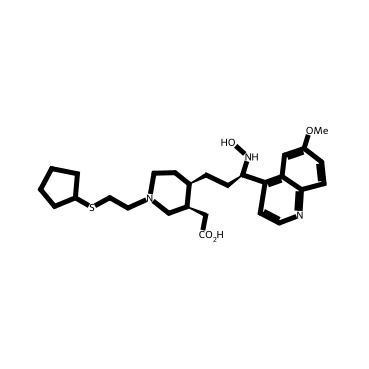 COc1ccc2nccc([C@@H](CC[C@@H]3CCN(CCSC4CCCC4)C[C@@H]3CC(=O)O)NO)c2c1